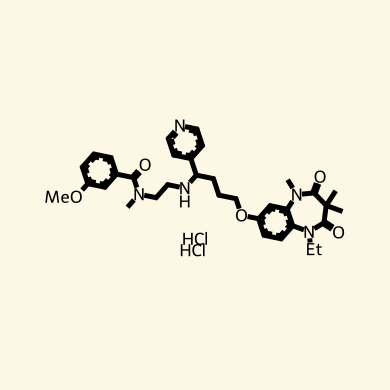 CCN1C(=O)C(C)(C)C(=O)N(C)c2cc(OCCCC(NCCN(C)C(=O)c3cccc(OC)c3)c3ccncc3)ccc21.Cl.Cl